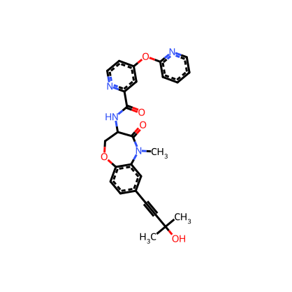 CN1C(=O)C(NC(=O)c2cc(Oc3ccccn3)ccn2)COc2ccc(C#CC(C)(C)O)cc21